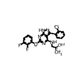 C[C@H](O)CNc1nc(Oc2cccc(F)c2F)nc2[nH]nc(-c3ccccc3Cl)c12